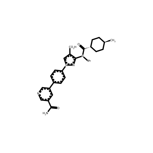 CC(C)N(c1nn(-c2ccc(-c3cncc(C(N)=O)c3)cc2)cc1C(=O)O)C(=O)[C@H]1CC[C@H](C)CC1